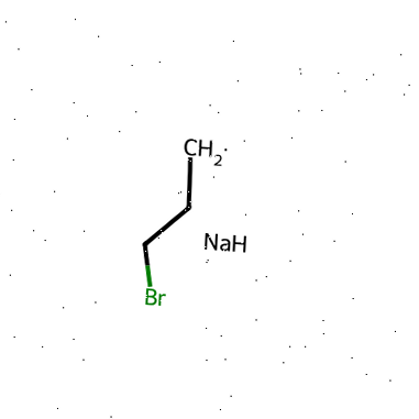 [CH2]CCBr.[NaH]